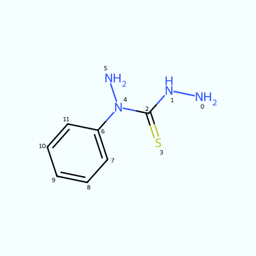 NNC(=S)N(N)c1ccccc1